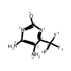 Nc1nc(Cl)nc(C(F)(F)F)c1N